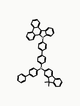 CC1(C)c2ccccc2-c2ccc(N(c3ccc(-c4ccccc4)cc3)c3ccc(-c4ccc(-n5c6ccccc6c6c7ccccc7c7ccccc7c65)cc4)cc3)cc21